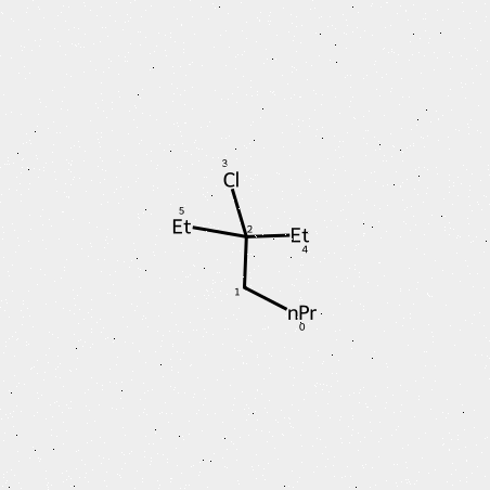 CCCCC(Cl)(CC)CC